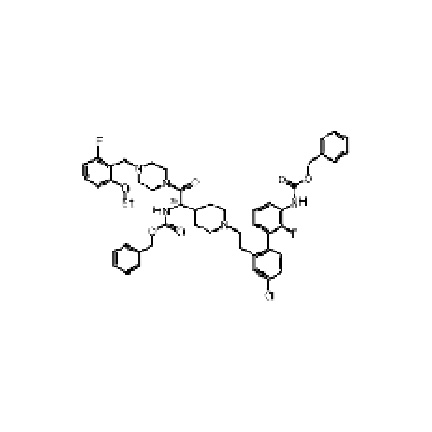 CCOc1cccc(F)c1CN1CCN(C(=O)[C@H](NC(=O)OCc2ccccc2)C2CCN(CCc3cc(Cl)ccc3-c3cccc(NC(=O)OCc4ccccc4)c3F)CC2)CC1